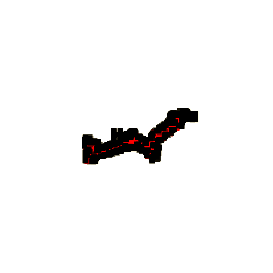 CCC(C)n1cnn(-c2ccc(N3CCN(c4ccc(OCC5COC(Cn6ccc(CCCC(C)n7cnn(-c8ccc(N9CCN(c%10ccc(OCC%11COC(Cn%12nccn%12)(c%12ccc(F)cc%12F)O%11)cc%10)CC9)cc8)c7=O)n6)(c6ccc(F)cc6F)O5)cc4)CC3)cc2)c1=O